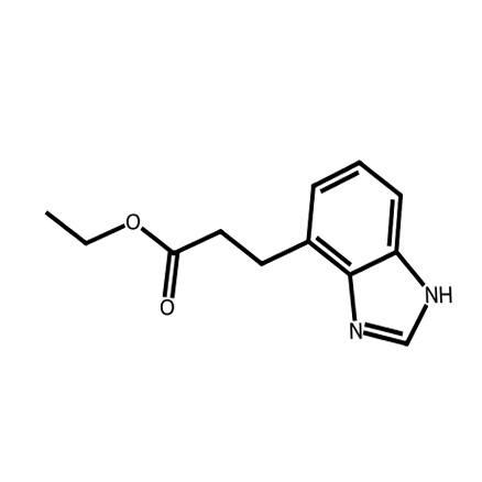 CCOC(=O)CCc1cccc2[nH]cnc12